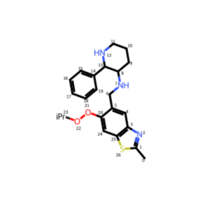 Cc1nc2cc(CNC3CCCNC3c3ccccc3)c(OOC(C)C)cc2s1